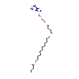 Nc1nc2c(ncn2COCCOC(=O)CCC(=O)OCCCCCCCCCCCCOC(=O)CCC(=O)O)c(=O)[nH]1